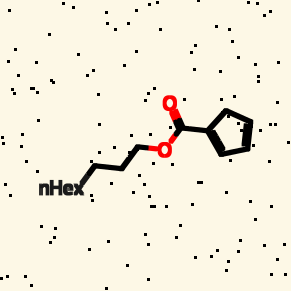 CCCCCCCCCOC(=O)C1=CC=CC1